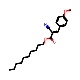 CCCCCCCCCCOC(=O)/C(C#N)=C/c1ccc(OC)cc1